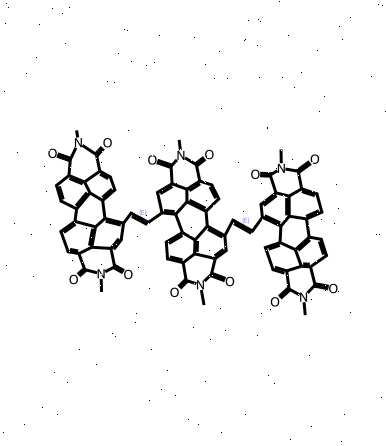 CN1C(=O)c2ccc3c4ccc5c6c(cc(/C=C/c7cc8c9c(ccc%10c%11c(/C=C/c%12cc%13c%14c(ccc%15c%16ccc%17c%18c(ccc(c%12c%14%15)c%18%16)C(=O)N(C)C%17=O)C(=O)N(C)C%13=O)cc%12c%13c(ccc(c7c9%10)c%13%11)C(=O)N(C)C%12=O)C(=O)N(C)C8=O)c(c7ccc(c2c37)C1=O)c64)C(=O)N(C)C5=O